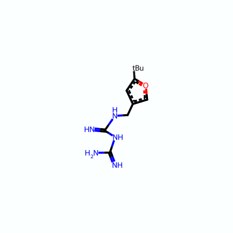 CC(C)(C)c1cc(CNC(=N)NC(=N)N)co1